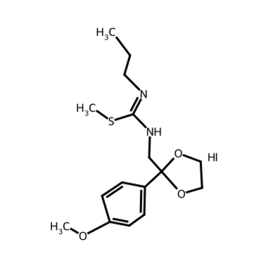 CCC/N=C(/NCC1(c2ccc(OC)cc2)OCCO1)SC.I